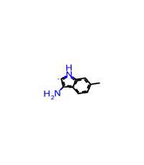 Cc1ccc2c(N)[c][nH]c2c1